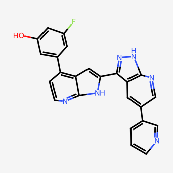 Oc1cc(F)cc(-c2ccnc3[nH]c(-c4n[nH]c5ncc(-c6cccnc6)cc45)cc23)c1